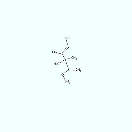 BOC(=C)C(C)(C)/C(=C/CCC)CC